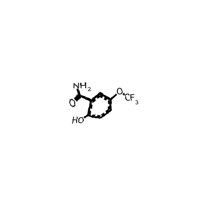 NC(=O)c1cc(OC(F)(F)F)ccc1O